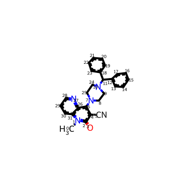 Cn1c(=O)c(C#N)c(N2CCN(C(c3ccccc3)c3ccccc3)CC2)c2ncccc21